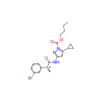 CCCCOC(=O)n1nc(NC(=O)[C@@H](C)c2cccc(Br)c2)cc1C1CC1